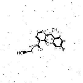 C#CCNC(=O)c1ccnn([C@H](C)c2ccc(F)cc2)c1=O